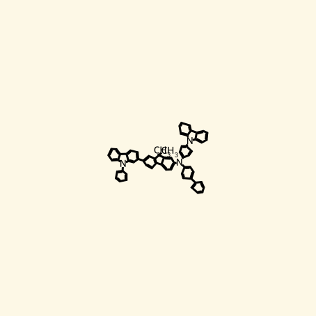 CC1(C)c2cc(-c3ccc4c5ccccc5n(-c5ccccc5)c4c3)ccc2-c2ccc(N(c3ccc(-c4ccccc4)cc3)c3ccc(-n4c5ccccc5c5ccccc54)cc3)cc21